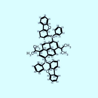 CC(C)c1cc(N(C2=CCCc3c2oc2ccccc32)c2ccccc2)c2ccc3c(C(C)C)cc(N(c4ccccc4)c4cccc5c4oc4ccccc45)c4ccc1c2c34